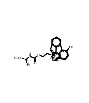 Cc1ccc2sc3c(Br)c2c1-c1cccc-3c1-c1nnnn1CCOC(=O)N[C@H](C(=O)O)C(C)C